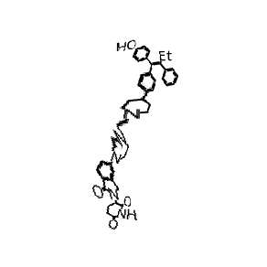 CCC(=C(c1ccc(O)cc1)c1ccc(C2CCN(CCN3CCN(c4ccc5c(c4)CN(C4CCC(=O)NC4=O)C5=O)CC3)CC2)cc1)c1ccccc1